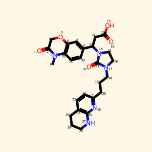 CN1C(=O)COc2cc(C(CC(=O)O)N3CCN(CCCc4ccc5c(n4)NCCC5)C3=O)ccc21